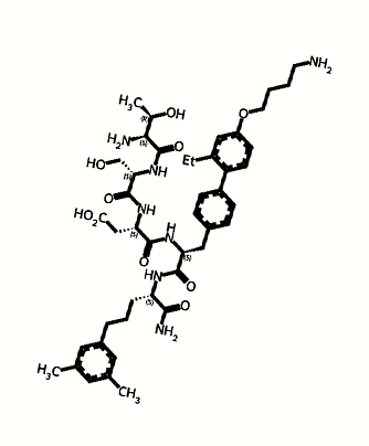 CCc1cc(OCCCCN)ccc1-c1ccc(C[C@H](NC(=O)[C@H](CC(=O)O)NC(=O)[C@H](CO)NC(=O)[C@@H](N)[C@@H](C)O)C(=O)N[C@@H](CCCc2cc(C)cc(C)c2)C(N)=O)cc1